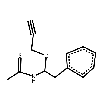 C#CCOC(Cc1ccccc1)NC(C)=S